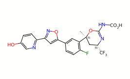 C[C@@]1(c2cc(-c3cc(-c4ccc(O)cn4)no3)ccc2F)C[C@@H](C(F)(F)F)N=C(NC(=O)O)O1